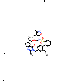 CCCCC1=NC2(CCCC2)C(=O)N1Cc1ccc(-c2ccccc2S(=O)(=O)N(COCCOC)c2onc(C)c2C)c(CC(C)C)c1